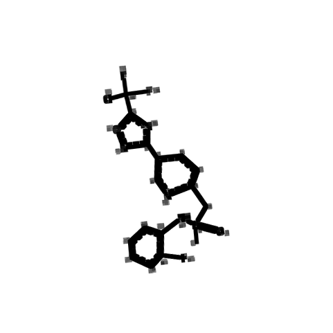 CP(=O)(Cc1ccc(-c2noc(C(F)(F)Cl)n2)cn1)Nc1ccccc1F